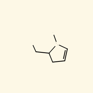 CCC1CC=CN1F